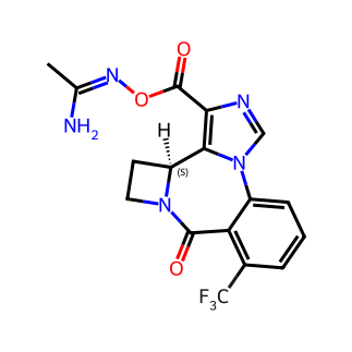 CC(N)=NOC(=O)c1ncn2c1[C@@H]1CCN1C(=O)c1c-2cccc1C(F)(F)F